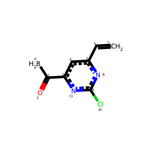 BC(=O)c1cc(C=C)nc(Cl)n1